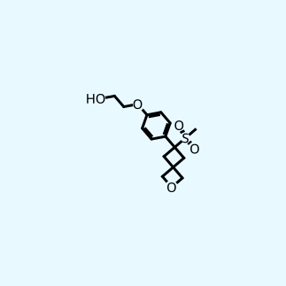 CS(=O)(=O)C1(c2ccc(OCCO)cc2)CC2(COC2)C1